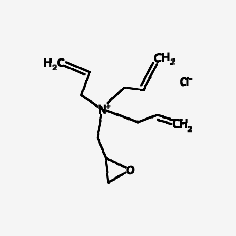 C=CC[N+](CC=C)(CC=C)CC1CO1.[Cl-]